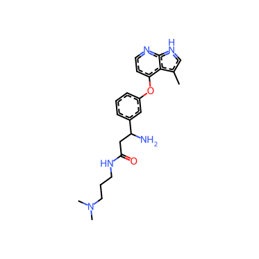 Cc1c[nH]c2nccc(Oc3cccc(C(N)CC(=O)NCCCN(C)C)c3)c12